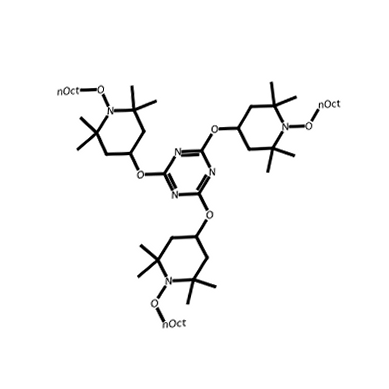 CCCCCCCCON1C(C)(C)CC(Oc2nc(OC3CC(C)(C)N(OCCCCCCCC)C(C)(C)C3)nc(OC3CC(C)(C)N(OCCCCCCCC)C(C)(C)C3)n2)CC1(C)C